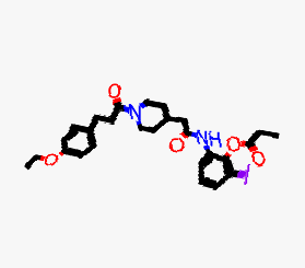 CCOc1ccc(CCC(=O)N2CCC(CC(=O)Nc3cccc(I)c3OC(=O)CC)CC2)cc1